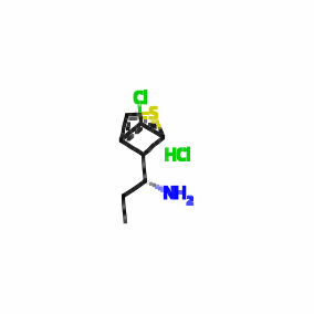 CC[C@@H](N)C1c2csc1c2Cl.Cl